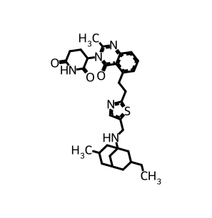 CCC1CC2CC(C)CC(NCc3cnc(CCc4cccc5nc(C)n(C6CCC(=O)NC6=O)c(=O)c45)s3)(C1)C2